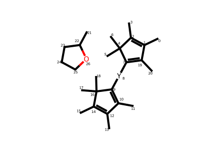 CC1=C(C)C(C)(C)[C]([Y][C]2=C(C)C(C)=C(C)C2(C)C)=C1C.CC1CCCO1